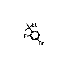 CCC(C)(C)c1ccc(Br)cc1F